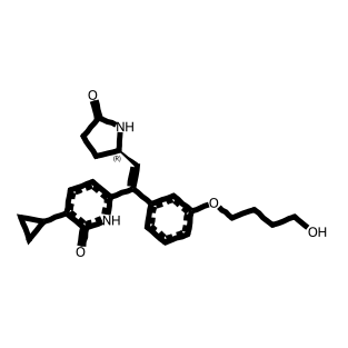 O=C1CC[C@H](C=C(c2cccc(OCCCCO)c2)c2ccc(C3CC3)c(=O)[nH]2)N1